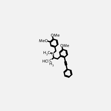 COc1ccc(C#Cc2ccccc2)c(CC(C)N(C)Cc2ccc(OC)c(OC)c2)c1.Cl